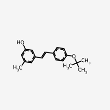 Cc1cc(O)cc(/C=C/c2ccc(OC(C)(C)C)cc2)c1